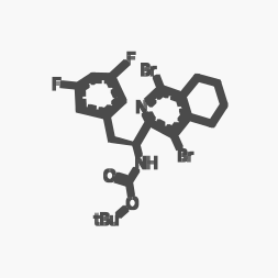 CC(C)(C)OC(=O)N[C@@H](Cc1cc(F)cc(F)c1)c1nc(Br)c2c(c1Br)CCCC2